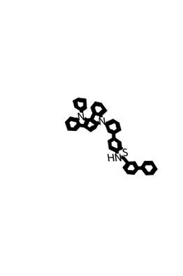 C1=C2NC(c3cccc(-c4ccccc4)c3)SC2=CC(c2cccc(-n3c4ccccc4c4c3ccc3c5ccccc5n(-c5ccccc5)c34)c2)C1